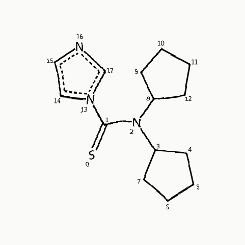 S=C(N(C1CCCC1)C1CCCC1)n1ccnc1